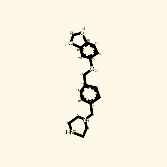 c1cc(CN2CCNCC2)ccc1COc1ccc2c(c1)OCO2